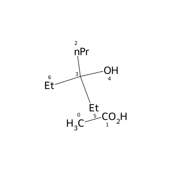 CC(=O)O.CCCC(O)(CC)CC